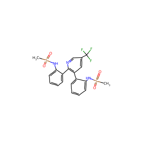 CS(=O)(=O)Nc1ccccc1-c1cc(C(F)(F)F)cnc1-c1ccccc1NS(C)(=O)=O